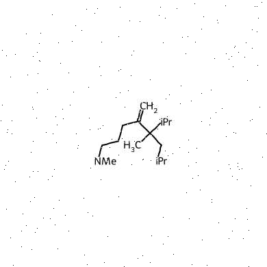 C=C(CCCNC)C(C)(CC(C)C)C(C)C